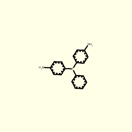 Nc1ccc(P(c2ccccc2)c2ccc(N)cc2)cc1